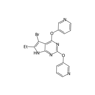 CCc1[nH]c2nc(Oc3cccnc3)nc(Oc3cccnc3)c2c1Br